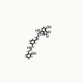 O=c1[nH]c2c(O)ccc(C(O)(O)CNCCc3cccc(CNCCc4ccccc4O)c3)c2s1